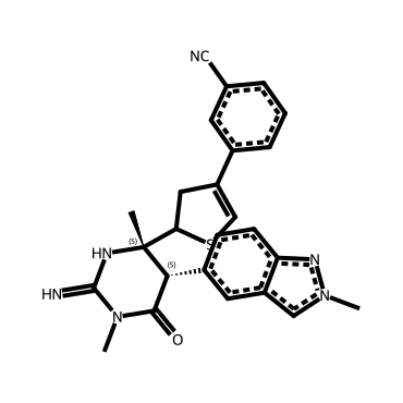 CN1C(=N)N[C@](C)(C2CC(c3cccc(C#N)c3)=CS2)[C@H](c2ccc3nn(C)cc3c2)C1=O